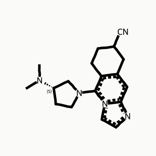 CN(C)[C@H]1CCN(c2c3c(cc4nccn24)CC(C#N)CC3)C1